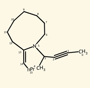 CC#CC(C)N1CCCCCCC/C1=C/CCC